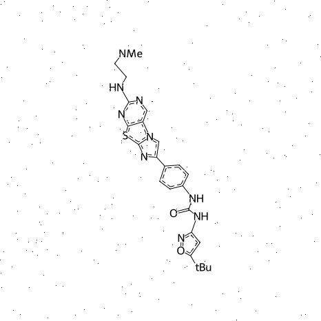 CNCCNc1ncc2c(n1)sc1nc(-c3ccc(NC(=O)Nc4cc(C(C)(C)C)on4)cc3)cn12